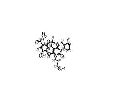 Cc1cccc(-n2c(N)c(C3c4c(C)c(O)c(C)c(C(N)=O)c4OC3(C)C)c(=O)n(CCCO)c2=O)c1C